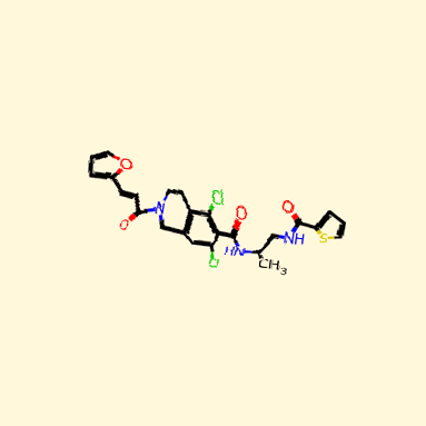 C[C@H](CNC(=O)c1cccs1)NC(=O)c1c(Cl)cc2c(c1Cl)CCN(C(=O)/C=C/c1ccco1)C2